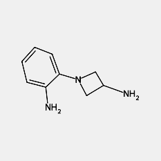 Nc1ccccc1N1CC(N)C1